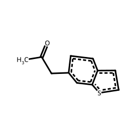 CC(=O)Cc1ccc2ccsc2c1